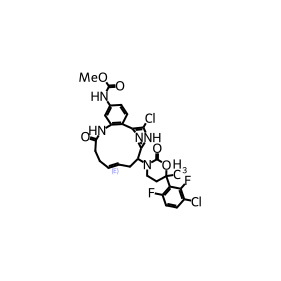 COC(=O)Nc1ccc2c(c1)NC(=O)CC/C=C/CC(N1CCC(C)(c3c(F)ccc(Cl)c3F)OC1=O)c1nc-2c(Cl)[nH]1